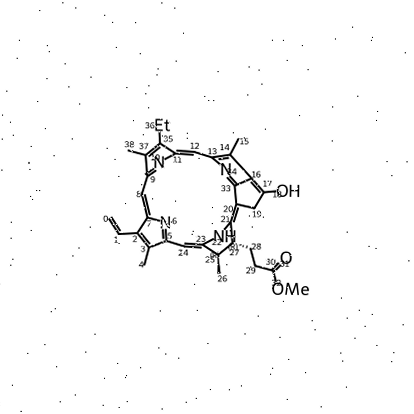 C=CC1=C(C)C2=NC1=CC1=NC(=CC3=C(C)C4=C(O)CC(=C5NC(=C2)[C@H](C)[C@H]5CCC(=O)OC)C4=N3)C(CC)=C1C